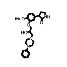 COc1ccc(C2CCNC2=O)cc1OCC(O)CN1CCN(c2ccccc2)CC1